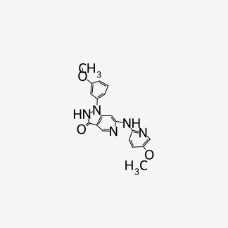 COc1ccc(Nc2cc3c(cn2)c(=O)[nH]n3-c2cccc(OC)c2)nc1